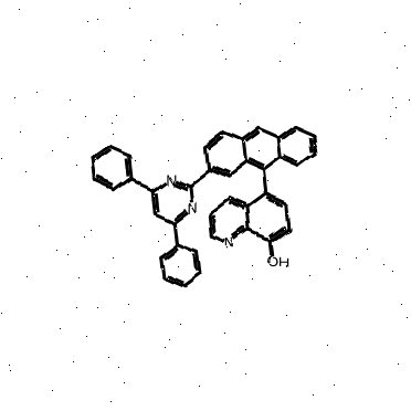 Oc1ccc(-c2c3ccccc3cc3ccc(-c4nc(-c5ccccc5)cc(-c5ccccc5)n4)cc23)c2cccnc12